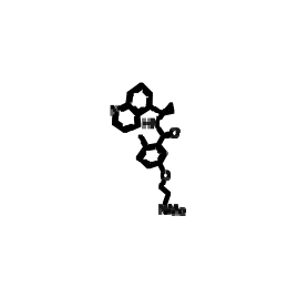 CNCCOc1ccc(C)c(C(=O)NC2(c3cccc4ncccc34)CC2)c1